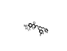 Cc1c(C#N)ccc2c(=O)c(CN(CCCn3ccnc3)Cc3ccnc(F)c3)coc12